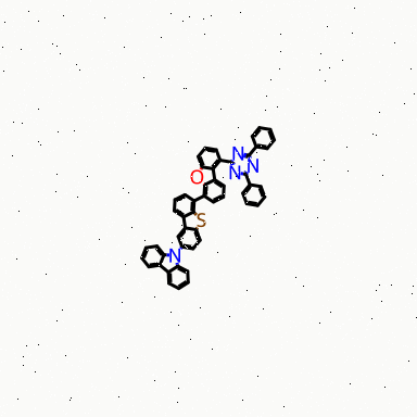 c1ccc(-c2nc(-c3ccccc3)nc(-c3cccc4oc5c(-c6cccc7c6sc6ccc(-n8c9ccccc9c9ccccc98)cc67)cccc5c34)n2)cc1